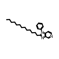 CCCCCCCCCCCCCc1nc2cnccc2n1-c1ccccc1